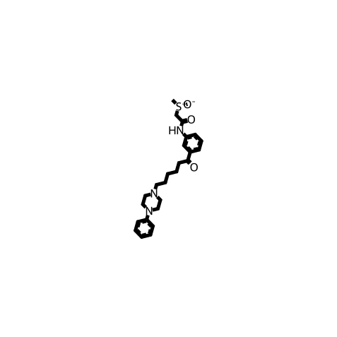 C[S+]([O-])CC(=O)Nc1cccc(C(=O)CCCCCN2CCN(c3ccccc3)CC2)c1